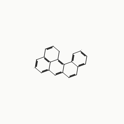 C1=Cc2cccc3cc4ccc5ccccc5c4c(c23)C1